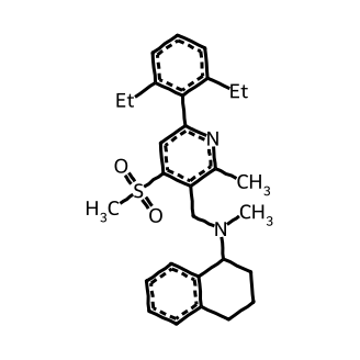 CCc1cccc(CC)c1-c1cc(S(C)(=O)=O)c(CN(C)C2CCCc3ccccc32)c(C)n1